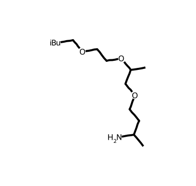 CCC(C)COCCOC(C)COCCC(C)N